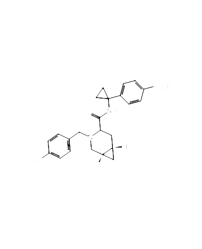 O=C(O)c1ccc(C2(NC(=O)C3C[C@@H]4C[C@@H]4CN3Cc3ccc(C(F)(F)F)cc3)CC2)cc1